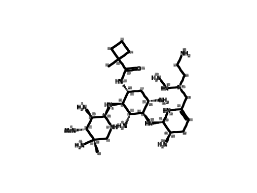 CN[C@@H]1[C@@H](N)[C@@H](N[C@@H]2[C@@H](N)[C@H](N[C@H]3NC(CN(CCN)NN)=CC[C@H]3N)[C@@H](N)C[C@H]2NC(=O)C2(C)CCC2)NC[C@]1(C)N